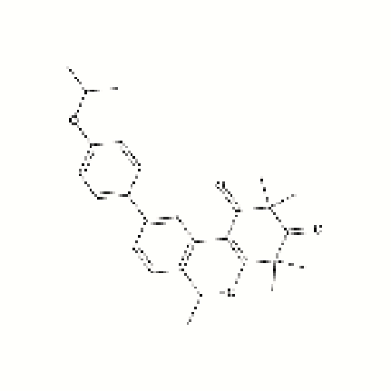 CCc1ccc(-c2ccc(OC(C)C)cc2)cc1C1=C(O)C(C)(C)C(=O)C(C)(C)C1=O